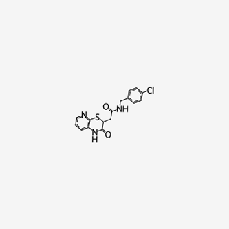 O=C(CC1Sc2ncccc2NC1=O)NCc1ccc(Cl)cc1